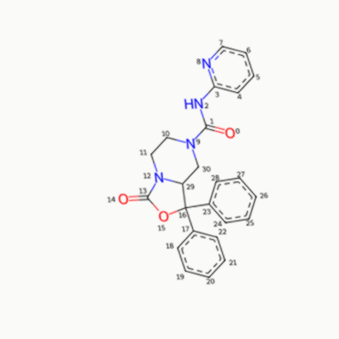 O=C(Nc1ccccn1)N1CCN2C(=O)OC(c3ccccc3)(c3ccccc3)C2C1